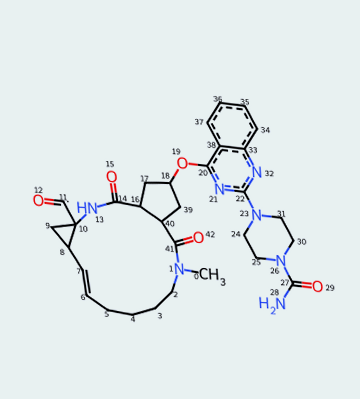 CN1CCCC/C=C/C2CC2([C]=O)NC(=O)C2CC(Oc3nc(N4CCN(C(N)=O)CC4)nc4ccccc34)CC2C1=O